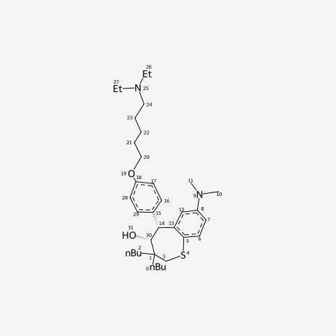 CCCCC1(CCCC)CSc2ccc(N(C)C)cc2[C@@H](c2ccc(OCCCCCN(CC)CC)cc2)[C@H]1O